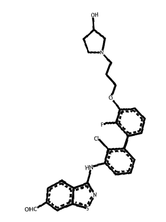 O=Cc1ccc2c(Nc3cccc(-c4cccc(OCCCN5CCC(O)C5)c4F)c3Cl)nsc2c1